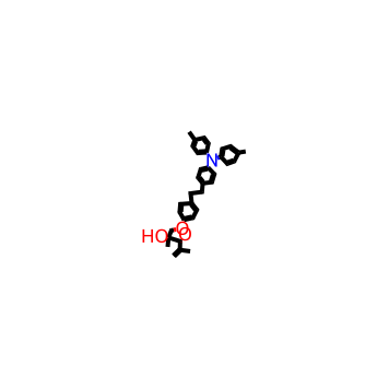 C=C(C)C(=O)C(C)(O)COc1ccc(CCc2ccc(N(c3ccc(C)cc3)c3ccc(C)cc3)cc2)cc1